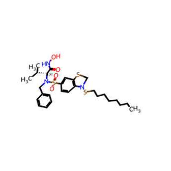 CCCCCCCCSN1CSc2cc(S(=O)(=O)N(Cc3ccccc3)[C@@H](C(=O)NO)C(C)C)ccc21